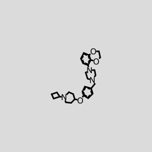 c1cc2c(c(N3CCN(Cc4ccc(OC5CCN(C6CCC6)CC5)cc4)CC3)c1)OCCO2